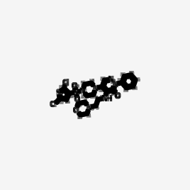 O=c1c(NCCN2CCOCC2)c(N2CCN(S(=O)(=O)c3cc(Cl)sc3Cl)CC2)cnn1-c1ccccc1